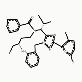 CC(C)[C@H](c1nc(-c2cc(Cl)ccc2F)nn1Cc1ccccc1)N(CC[C@H](N)CF)C(=O)c1ccccc1